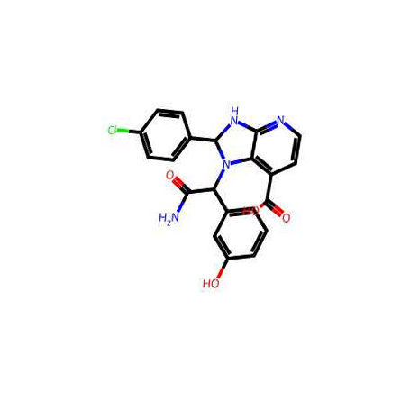 NC(=O)C(c1cccc(O)c1)N1c2c(C(=O)O)ccnc2NC1c1ccc(Cl)cc1